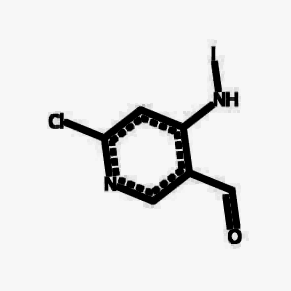 O=Cc1cnc(Cl)cc1NI